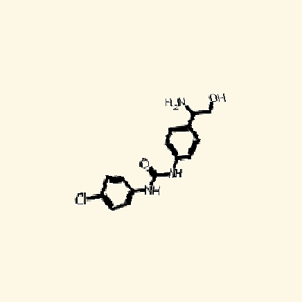 NC(CO)c1ccc(NC(=O)Nc2ccc(Cl)cc2)cc1